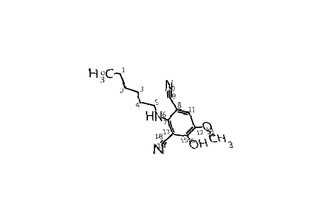 CCCCCCNc1c(C#N)cc(OC)c(O)c1C#N